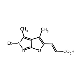 CCn1nc2oc(C=CC(=O)O)c(C)c2c1C